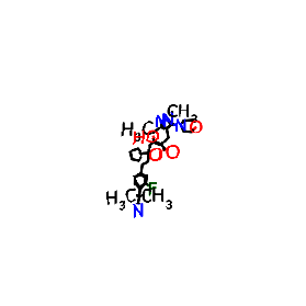 CCc1nn(C)c(N2CCOCC2)c1CC1=C(O)CC(CCc2ccc(C(C)(C)C#N)c(F)c2)(C2CCCC2)OC1=O